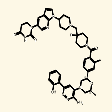 Cc1cc([C@@H]2CN(c3cc(-c4ccccc4O)nnc3N)C[C@H](C)O2)ccc1C(=O)N1CCC(F)(CN2CCC(n3ccc4cc(N5CCC(=O)NC5=O)cnc43)CC2)CC1